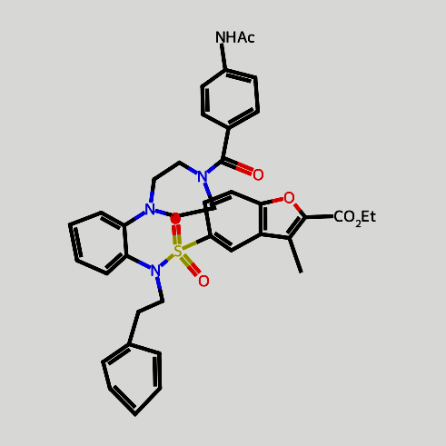 CCOC(=O)c1oc2ccc(S(=O)(=O)N(CCc3ccccc3)c3ccccc3N3CCN(C(=O)c4ccc(NC(C)=O)cc4)CC3)cc2c1C